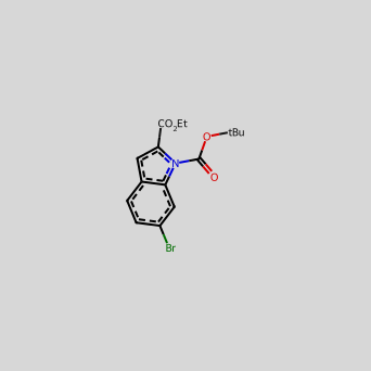 CCOC(=O)c1cc2ccc(Br)cc2n1C(=O)OC(C)(C)C